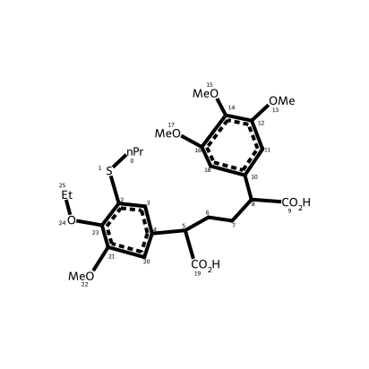 CCCSc1cc(C(CCC(C(=O)O)c2cc(OC)c(OC)c(OC)c2)C(=O)O)cc(OC)c1OCC